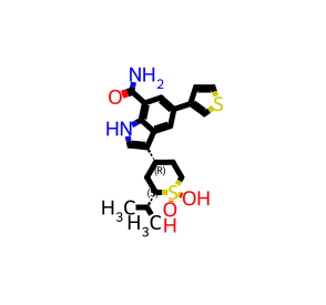 CC(C)[C@@H]1C[C@H](c2c[nH]c3c(C(N)=O)cc(-c4ccsc4)cc23)CCS1(O)O